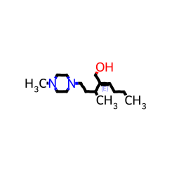 CCC/C=C(/CO)C(C)CCN1CCN(C)CC1